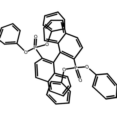 O=P(Oc1ccccc1)(Oc1ccccc1)c1ccc2ccccc2c1-c1c(P(=O)(Oc2ccccc2)Oc2ccccc2)ccc2ccccc12